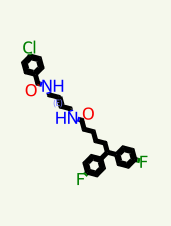 O=C(CCCCC(c1ccc(F)cc1)c1ccc(F)cc1)NC/C=C/CNC(=O)c1ccc(Cl)cc1